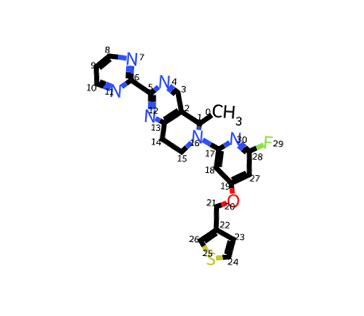 CC1c2cnc(-c3ncccn3)nc2CCN1c1cc(OCc2ccsc2)cc(F)n1